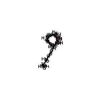 CC(C)C[C@@H]1NC(=O)[C@H](Cc2c[nH]cn2)NC(=O)[C@H](C(C)C)NC(=O)[C@@H](N)Cc2cn(nn2)CCCC[C@@H](C(=O)NCCCOCCOCCOCCCNC(=O)CCCC[C@H]2SC[C@H]3NC(=O)N[C@H]32)NC(=O)CNC(=O)[C@H](CO)NC1O